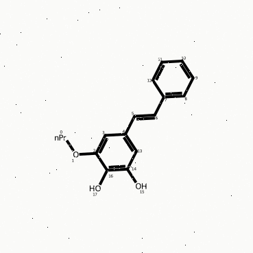 CCCOc1cc(C=Cc2ccccc2)cc(O)c1O